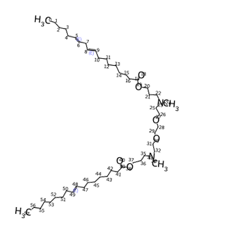 CCCCC/C=C/C/C=C/CCCCCCCC(=O)OCCCN(C)CCOCCOCCN(C)CCCOC(=O)CCCCCCC/C=C/CCCCCCCC